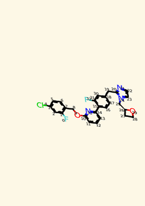 Fc1cc(Cl)ccc1COc1cccc(-c2ccc(Cc3nccn3C[C@@H]3CCO3)cc2F)n1